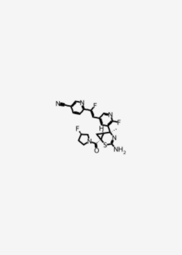 C[C@]1(c2cc(/C=C(\F)c3ccc(C#N)cn3)cnc2F)N=C(N)S[C@@]2(C(=O)N3CC[C@@H](F)C3)C[C@H]21